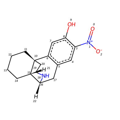 O=[N+]([O-])c1cc2c(cc1O)[C@@]13CCCC[C@H]1[C@@H](C2)NCC3